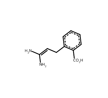 NC(N)=CCc1ccccc1C(=O)O